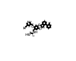 Cc1ccccc1-c1cccc2c1CC[C@@H]2Oc1cc(OCc2cncc(C#N)c2)c(CN[C@H](C)CO)cc1Cl